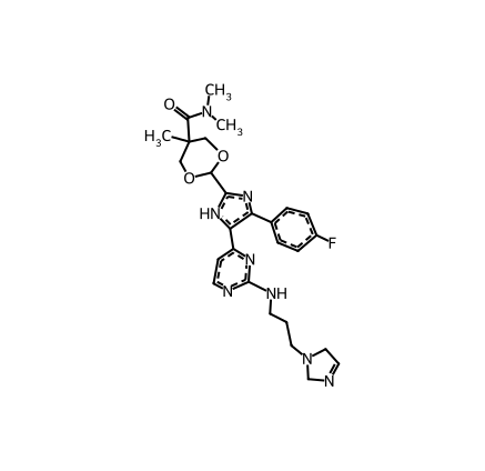 CN(C)C(=O)C1(C)COC(c2nc(-c3ccc(F)cc3)c(-c3ccnc(NCCCN4CC=NC4)n3)[nH]2)OC1